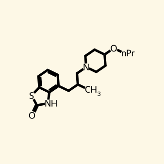 CCCOC1CCN(CC(C)Cc2cccc3sc(=O)[nH]c23)CC1